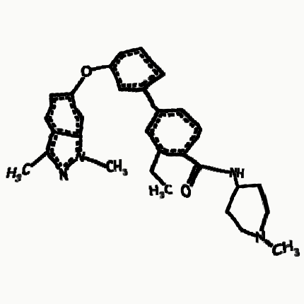 CCc1cc(-c2cccc(Oc3ccc4c(C)nn(C)c4c3)c2)ccc1C(=O)NC1CCN(C)CC1